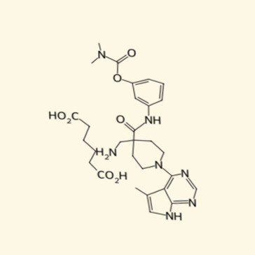 Cc1c[nH]c2ncnc(N3CCC(CN)(C(=O)Nc4cccc(OC(=O)N(C)C)c4)CC3)c12.O=C(O)CCCCC(=O)O